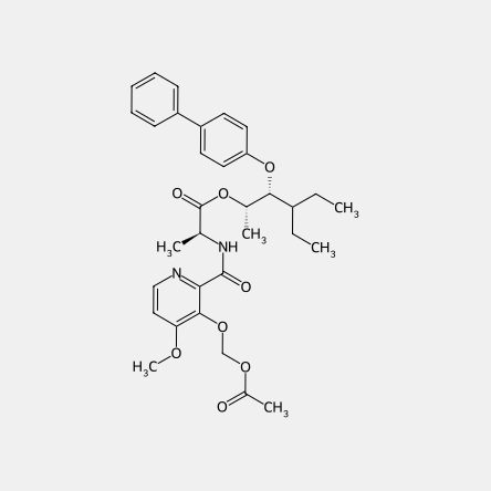 CCC(CC)[C@@H](Oc1ccc(-c2ccccc2)cc1)[C@H](C)OC(=O)[C@H](C)NC(=O)c1nccc(OC)c1OCOC(C)=O